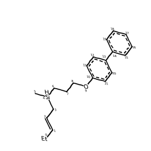 CCC=CC[SiH](C)CCCOc1ccc(-c2ccccc2)cc1